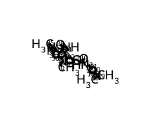 CCn1c2ccc(OCC(=O)NCc3ccc(N(C)C)cc3)cc2c2c3c(c4c(c21)CCc1nn(C)cc1-4)C(=O)NC3